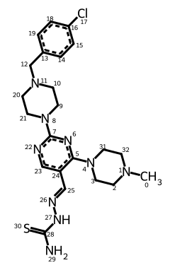 CN1CCN(c2nc(N3CCN(Cc4ccc(Cl)cc4)CC3)ncc2/C=N/NC(N)=S)CC1